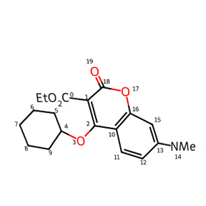 CCOC(=O)c1c(OC2CCCCC2)c2ccc(NC)cc2oc1=O